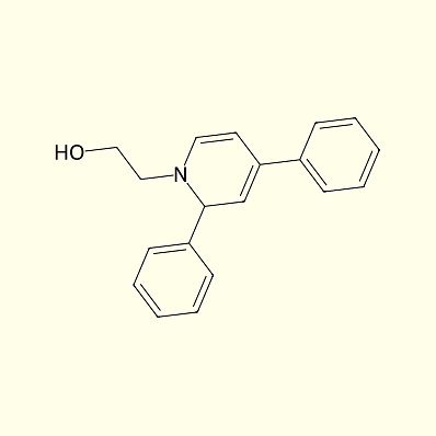 OCCN1C=CC(c2ccccc2)=CC1c1ccccc1